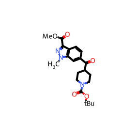 COC(=O)c1nn(C)c2cc(C(=O)C3CCN(C(=O)OC(C)(C)C)CC3)ccc12